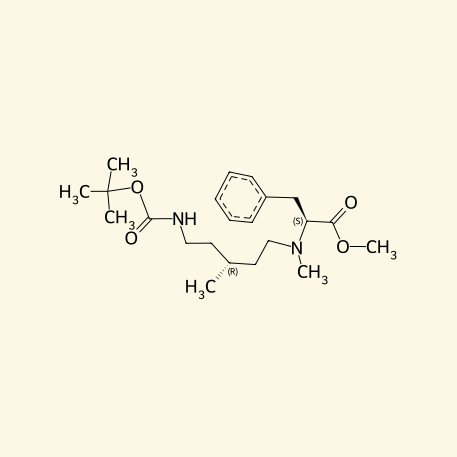 COC(=O)[C@H](Cc1ccccc1)N(C)CC[C@H](C)CCNC(=O)OC(C)(C)C